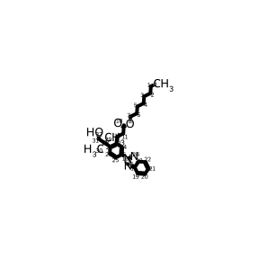 CCCCCCCCOC(=O)CCc1cc(-n2nc3ccccc3n2)ccc1C(C)(C)CO